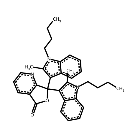 CCCCn1c(C)c(C2(c3c(C)n(CCCC)c4ccccc34)OC(=O)c3cccnc32)c2ccccc21